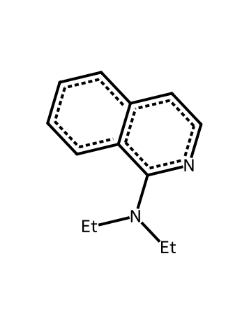 CCN(CC)c1nccc2ccccc12